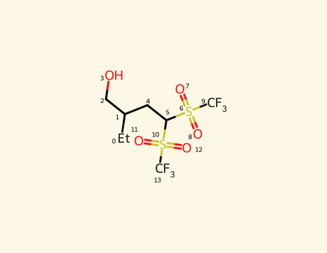 CCC(CO)CC(S(=O)(=O)C(F)(F)F)S(=O)(=O)C(F)(F)F